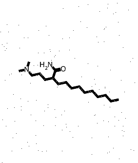 CCCCCCCCCCC(CCCN(C)C)C(N)=O